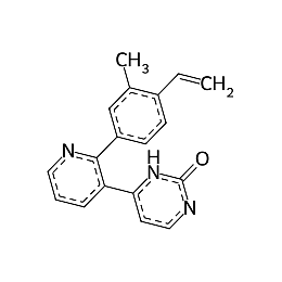 C=Cc1ccc(-c2ncccc2-c2ccnc(=O)[nH]2)cc1C